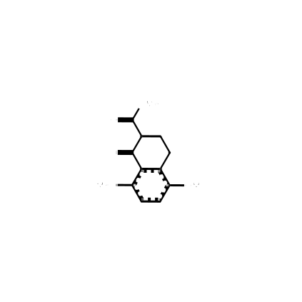 COC(=O)C1CCc2c(OC)ccc(OC)c2C1=O